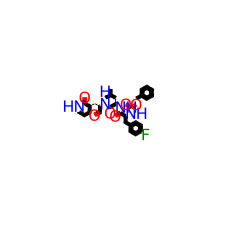 CC(C)C[C@H](NC(=O)C(Cc1ccc(F)cc1)NC(=O)OCc1ccccc1)C(=O)N[C@H](C=O)C[C@@H]1CCCNC1=O